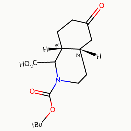 CC(C)(C)OC(=O)N1CC[C@H]2CC(=O)CC[C@H]2C1C(=O)O